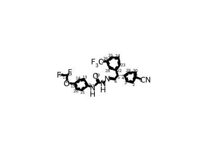 N#Cc1ccc([C@H](C=NNC(=O)Nc2ccc(OC(F)F)cc2)c2cccc(C(F)(F)F)c2)cc1